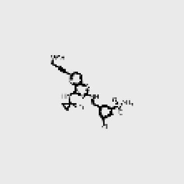 COCC#Cc1ccc2nc(NCc3cc(Cl)cc(S(N)(=O)=O)c3)nc(NC3(C(F)(F)F)CC3)c2n1